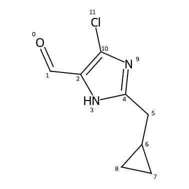 O=Cc1[nH]c(CC2CC2)nc1Cl